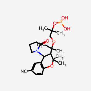 CC(C)(COC(C)(C)C1C(N2CCCC2=O)c2cc(C#N)ccc2OC1(C)C)OP(O)O